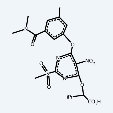 Cc1cc(Oc2nc(S(C)(=O)=O)nc(OC(C(=O)O)C(C)C)c2[N+](=O)[O-])cc(C(=O)N(C)C)c1